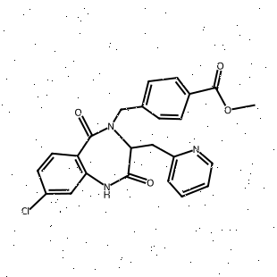 COC(=O)c1ccc(CN2C(=O)c3ccc(Cl)cc3NC(=O)C2Cc2ccccn2)cc1